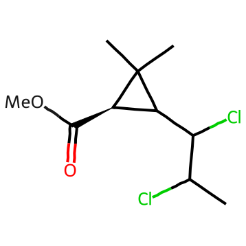 COC(=O)[C@@H]1C(C(Cl)C(C)Cl)C1(C)C